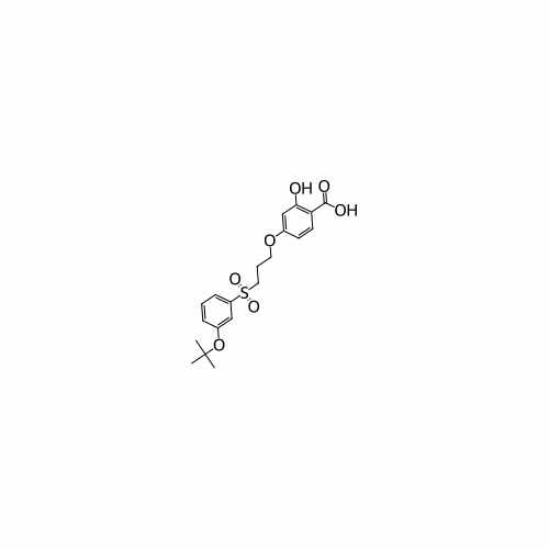 CC(C)(C)Oc1cccc(S(=O)(=O)CCCOc2ccc(C(=O)O)c(O)c2)c1